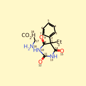 CCC1(c2ccccc2)C(=O)NC(=O)NC1=O.NCC(=O)O